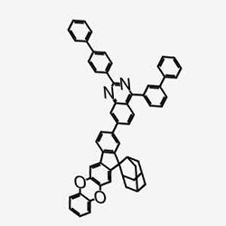 c1ccc(-c2ccc(-c3nc(-c4cccc(-c5ccccc5)c4)c4ccc(-c5ccc6c(c5)C5(c7cc8c(cc7-6)Oc6ccccc6O8)C6CC7CC(C6)CC5C7)cc4n3)cc2)cc1